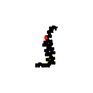 CCC/C=C/COc1ccc(-c2ccc(-c3ccc(CCCCC)s3)cc2)cc1